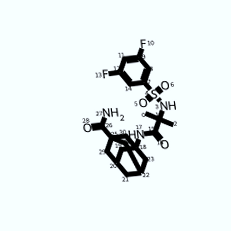 CC(C)(NS(=O)(=O)c1cc(F)cc(F)c1)C(=O)NC12CC3CC(C1)CC(C(N)=O)(C3)C2